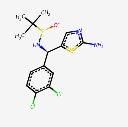 CC(C)(C)[S+]([O-])N[C@H](c1ccc(Cl)c(Cl)c1)c1cnc(N)s1